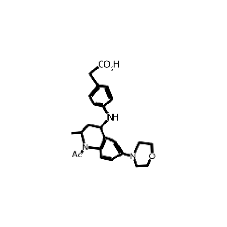 CC(=O)N1c2ccc(N3CCOCC3)cc2C(Nc2ccc(CC(=O)O)cc2)CC1C